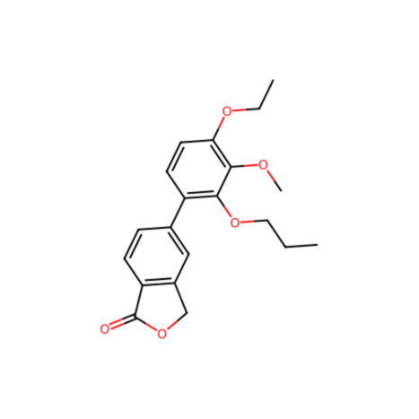 CCCOc1c(-c2ccc3c(c2)COC3=O)ccc(OCC)c1OC